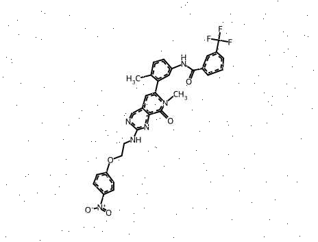 Cc1ccc(NC(=O)c2cccc(C(F)(F)F)c2)cc1-c1cc2cnc(NCCOc3ccc([N+](=O)[O-])cc3)nc2c(=O)n1C